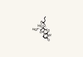 CCCC(=O)O[C@@]1(O)[C@@H](CO)O[C@@H](n2ccc(=O)[nH]c2=O)[C@]1(C)F